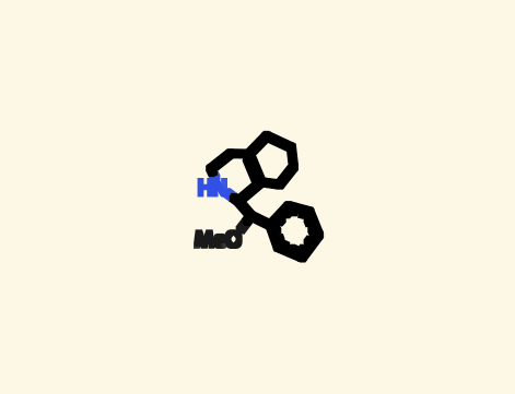 COC(c1ccccc1)C1NCCC2=C1CCCC2